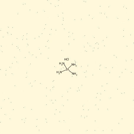 Cl.[NH2][Zn]([NH2])([NH2])[NH2]